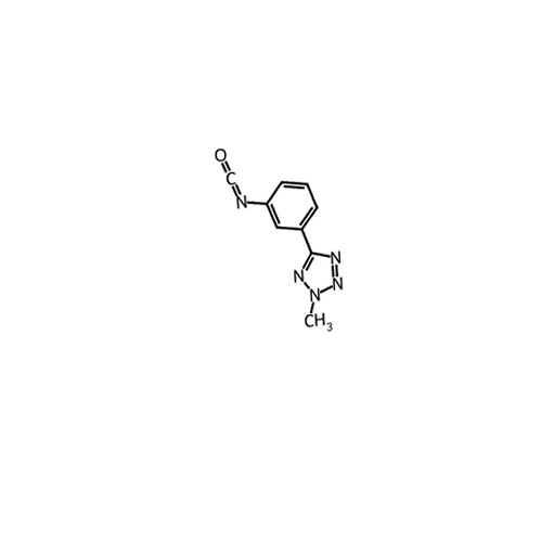 Cn1nnc(-c2cccc(N=C=O)c2)n1